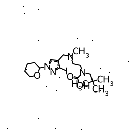 CN(CCN(CC(C)(C)C)C(=O)O)Cc1cn(C2CCCCO2)nc1I